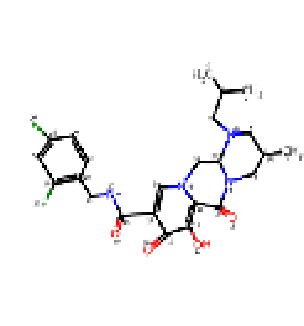 CC(C)CN1C[C@@H](C)CN2C(=O)c3c(O)c(=O)c(C(=O)NCc4ccc(F)cc4F)cn3CC12